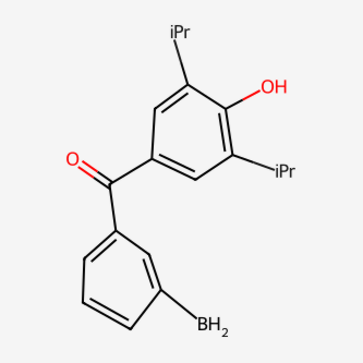 Bc1cccc(C(=O)c2cc(C(C)C)c(O)c(C(C)C)c2)c1